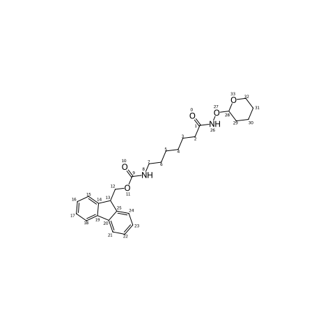 O=C(CCCCCCNC(=O)OCC1c2ccccc2-c2ccccc21)NOC1CCCCO1